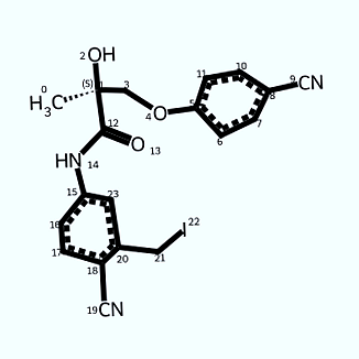 C[C@](O)(COc1ccc(C#N)cc1)C(=O)Nc1ccc(C#N)c(CI)c1